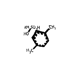 Cc1ccc(C)cc1.O=S(=O)(O)O.[KH]